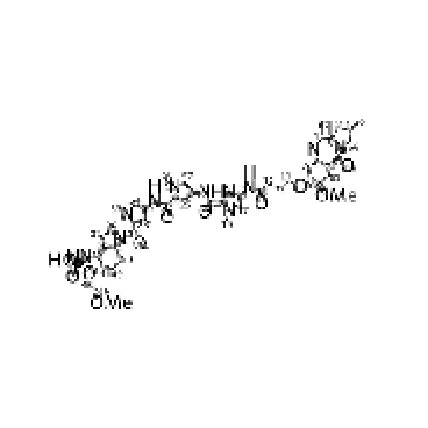 C=C1C[C@H]2C=Nc3cc(OCCCC(=O)Nc4cn(C)c(C(=O)Nc5cc(C(=O)Nc6cc(C(=O)n7ccc8c(NP(=O)(O)OCCOC)cccc87)n(C)c6)n(C)c5)n4)c(OC)cc3C(=O)N2C1